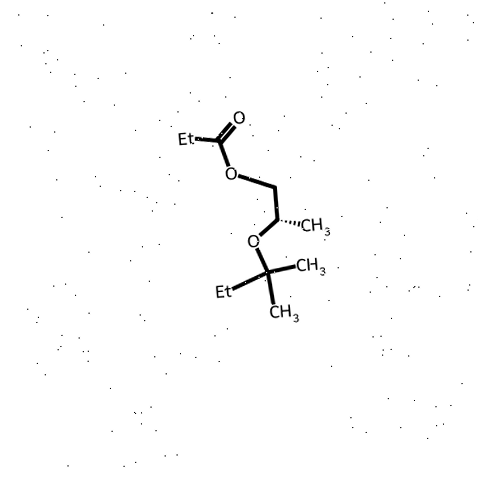 CCC(=O)OC[C@H](C)OC(C)(C)CC